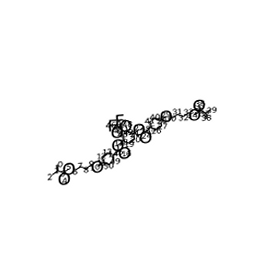 C=C(C)C(=O)OCCCCOc1ccc(C(=O)Oc2ccc(OC(=O)c3ccc(OCCCCOC(=O)C(=C)C)cc3)c3c2OC(F)(F)O3)cc1